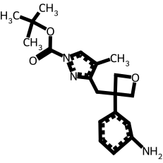 Cc1cn(C(=O)OC(C)(C)C)nc1CC1(c2cccc(N)c2)COC1